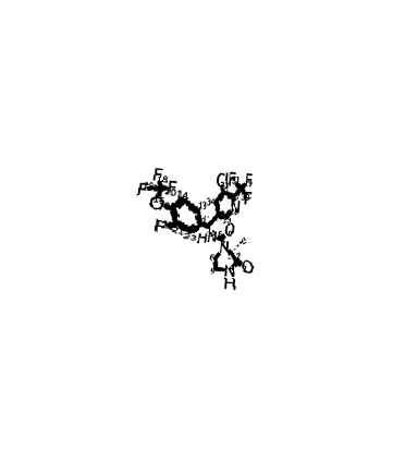 C[C@@H]1C(=O)NCCN1C(=O)N[C@H](c1ccc(OC(F)(F)F)c(F)c1)c1cnc(C(F)(F)F)c(Cl)c1